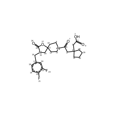 O=C(O)CC1(CC(=O)N2CCC3(CC2)CN(Cc2ccc(F)c(F)c2)C(=O)O3)CCCC1